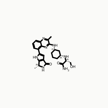 Cc1nc2cccc(-c3cc4c([nH]3)[C@@H](C)NC4=O)c2nc1N[C@H]1CCC[C@@H](N[C@H](CO)C(N)=O)C1